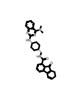 CN(C)c1nc(N[C@H]2CC[C@@H](CNC(=O)c3cccc4c3C(=O)C3=C4C=CCC3)CC2)nc2ccccc12